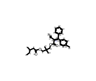 CCC(C)CC(=O)OCC(C)(C)COC(=O)/C(C#N)=C(/c1ccccc1)c1ccc(C)cc1